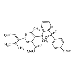 COC(=O)c1cc(C(=CC=O)N(C)C)cc(C)c1N(C)c1cccnc1S(=O)(=O)c1ccc(OC)cc1